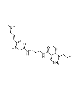 CCCNC(=N/C)/C(=C\N)C(=O)NCCCNC(=O)CN(C)C(=O)/C=C/CN(C)C